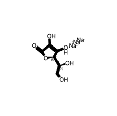 O=C1O[C@H]([C@@H](O)CO)C(O)=C1O.[Na].[Na].[Na]